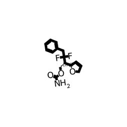 NC(=O)OC[C@@H]([C@@H]1C=CCO1)C(F)(F)Cc1ccccc1